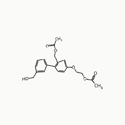 CC(=O)OCCOc1ccc(-c2cccc(CO)c2)c(COC(C)=O)c1